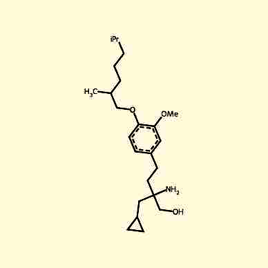 COc1cc(CCC(N)(CO)CC2CC2)ccc1OCC(C)CCCC(C)C